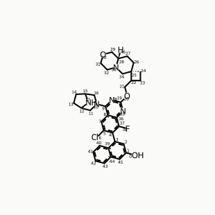 Oc1cc(-c2c(Cl)cc3c(N4CC5CCC(C4)N5)nc(OCC4CC[C@]45CC[C@H]4COCCN4C5)nc3c2F)c2ccccc2c1